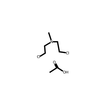 CC(=O)O.CN(CCCl)CCCl